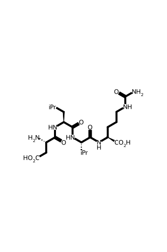 CC(C)C[C@H](NC(=O)[C@@H](N)CC(=O)O)C(=O)N[C@H](C(=O)N[C@@H](CCCNC(N)=O)C(=O)O)C(C)C